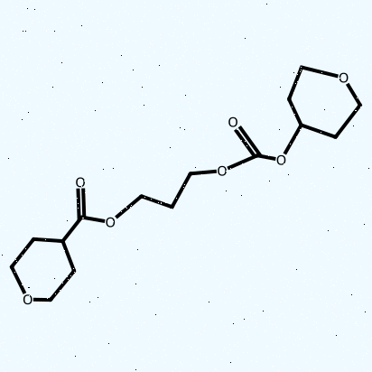 O=C(OCCCOC(=O)C1CCOCC1)OC1CCOCC1